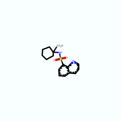 O=C(O)C1(NS(=O)(=O)c2cccc3cccnc23)CCCCC1